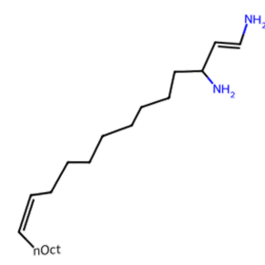 CCCCCCCC/C=C\CCCCCCCCC(N)C=CN